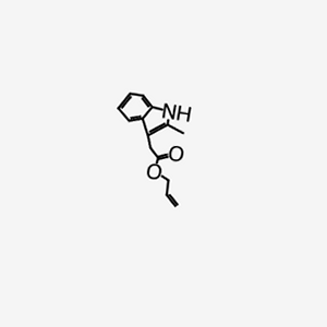 C=CCOC(=O)Cc1c(C)[nH]c2ccccc12